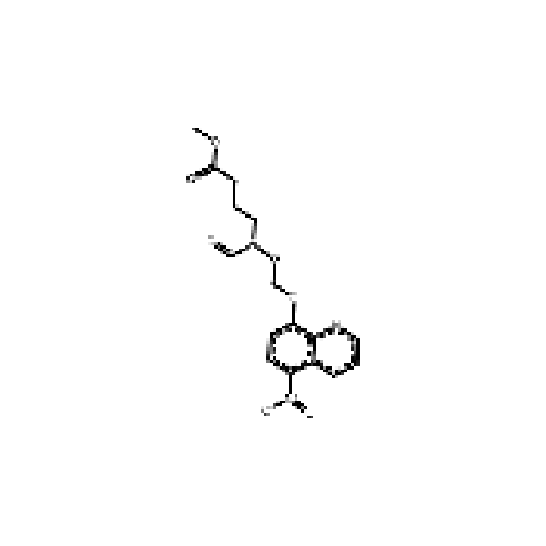 COC(=O)CCCN(C=O)OCOc1ccc([N+](=O)[O-])c2cccnc12